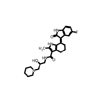 Cc1[nH]c2c(c1C(=O)NCC(O)CN1CCCCC1)CCC/C2=C1/C(=O)Nc2ccc(F)cc21